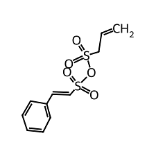 C=CCS(=O)(=O)OS(=O)(=O)C=Cc1ccccc1